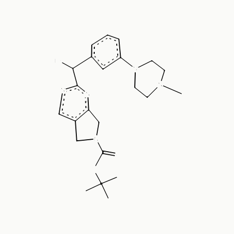 CN1CCN(c2cccc(C(O)c3ncc4c(n3)CN(C(=O)OC(C)(C)C)C4)c2)CC1